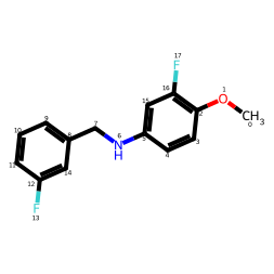 COc1ccc(NCc2cccc(F)c2)cc1F